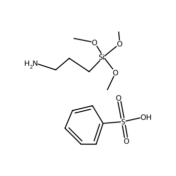 CO[Si](CCCN)(OC)OC.O=S(=O)(O)c1ccccc1